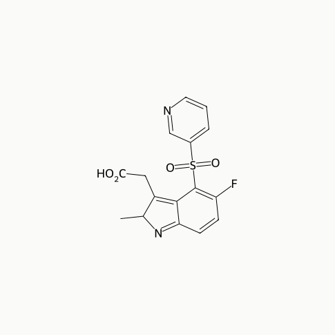 CC1N=c2ccc(F)c(S(=O)(=O)c3cccnc3)c2=C1CC(=O)O